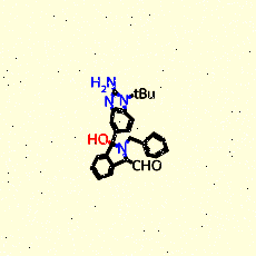 CC(C)(C)n1c(N)nc2cc(C3(O)c4ccccc4C(C=O)N3Cc3ccccc3)ccc21